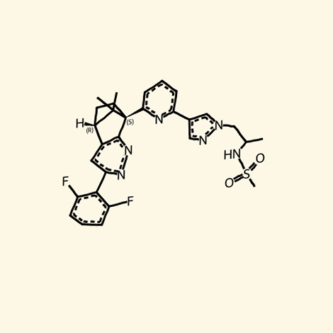 CC(Cn1cc(-c2cccc([C@@]34CC[C@@H](c5cc(-c6c(F)cccc6F)nnc53)C4(C)C)n2)cn1)NS(C)(=O)=O